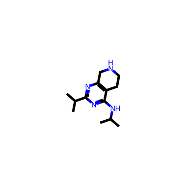 CC(C)Nc1nc(C(C)C)nc2c1CCNC2